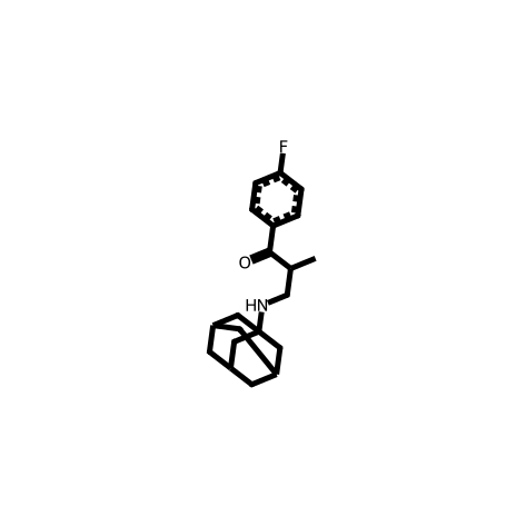 CC(CNC12CC3CC(CC(C3)C1)C2)C(=O)c1ccc(F)cc1